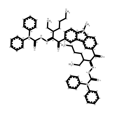 CCCCC(CC)/C(=N\OC(=O)N(c1ccccc1)c1ccccc1)C(=O)c1ccc2c(c1)c1cc(C(=O)/C(=N/OC(=O)N(c3ccccc3)c3ccccc3)C(CC)CCCC)ccc1n2C